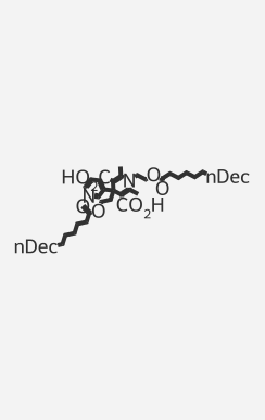 CCCCCCCCCCCCCCCC(=O)OCCN1C(C)=C(C(=O)O)C(CCOC(=O)CCCCCCCCCCCCCCC)(c2cccnc2)C(C(=O)O)=C1C